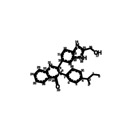 CCC(C)c1ccc(-n2c(-c3ccc4nc(CO)[nH]c4c3)nc3ccccc3c2=O)cc1